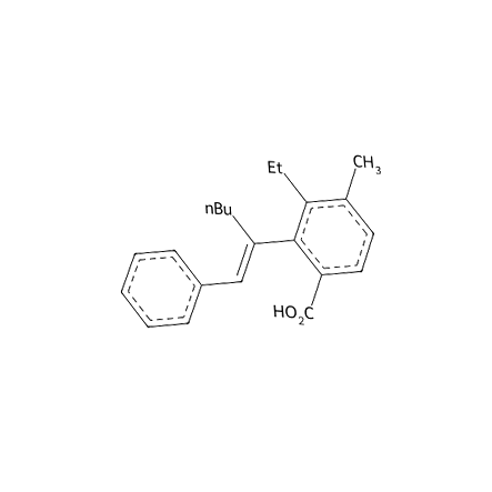 CCCCC(=Cc1ccccc1)c1c(C(=O)O)ccc(C)c1CC